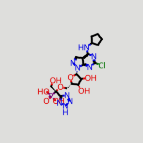 O=P(O)(O)[C@](CO)(OC[C@@H]1O[C@H](n2ncc3c(NC4CCCC4)nc(Cl)nc32)C(O)[C@H]1O)c1nn[nH]n1